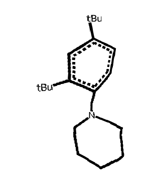 CC(C)(C)c1ccc(N2CCCCC2)c(C(C)(C)C)c1